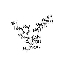 CCCNc1ncnc2c1ncn2[C@H]1C[C@](N)(O)[C@@H](C(N)O)O1.N.N.O=P(O)(O)O.O=P(O)(O)O